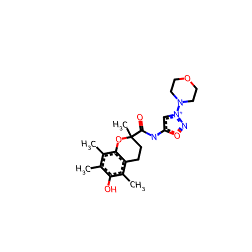 Cc1c(C)c2c(c(C)c1O)CCC(C)(C(=O)[N-]c1c[n+](N3CCOCC3)no1)O2